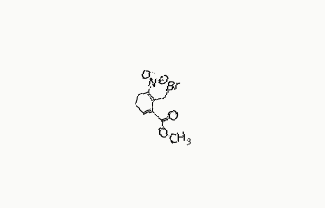 COC(=O)C1=CCCC([N+](=O)[O-])=C1CBr